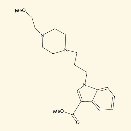 COCCN1CCN(CCCn2cc(C(=O)OC)c3ccccc32)CC1